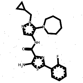 Nc1sc(-c2ccccc2F)nc1C(=O)Nc1cnn(CC2CC2)c1N1CCCCCC1